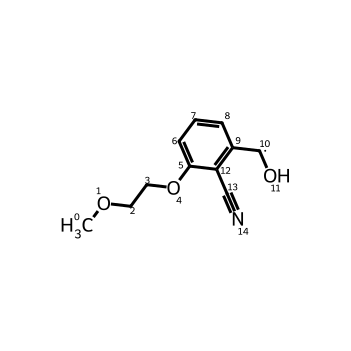 COCCOc1cccc([CH]O)c1C#N